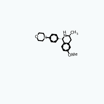 COc1ccc2c(c1)C[C@H](C)N[C@H]2c1ccc(N2CCOCC2)cc1